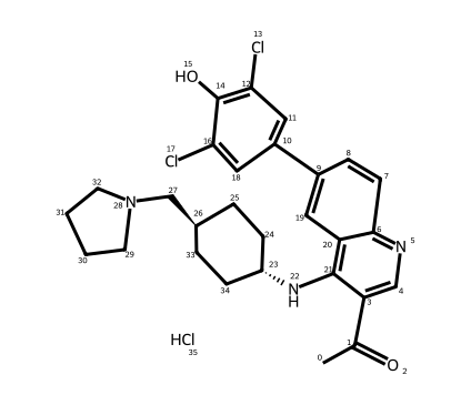 CC(=O)c1cnc2ccc(-c3cc(Cl)c(O)c(Cl)c3)cc2c1N[C@H]1CC[C@H](CN2CCCC2)CC1.Cl